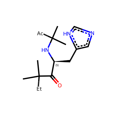 CCC(C)(C)C(=O)[C@H](Cc1cnc[nH]1)NC(C)(C)C(C)=O